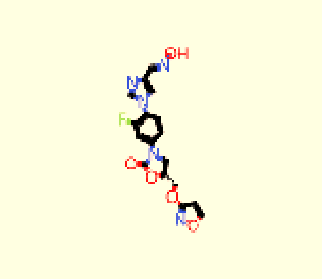 O=C1O[C@@H](COc2ccon2)CN1c1ccc(-n2cnc(C=NO)c2)c(F)c1